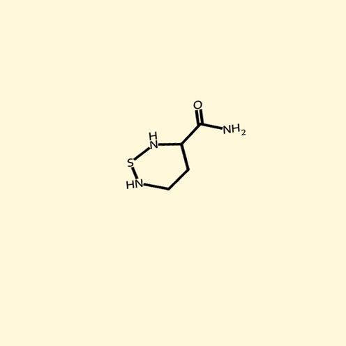 NC(=O)C1CCNSN1